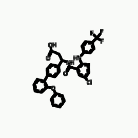 O=C(O)CC(NC(=O)c1cc(Cl)ccc1Nc1ccc(C(F)(F)F)cc1)c1ccc(-c2ccccc2Oc2ccccc2)cc1